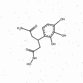 NC(=O)CC(CC(=O)NO)c1ccc(O)c(O)c1O